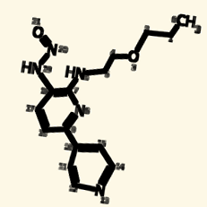 CCCOCCNc1nc(-c2ccncc2)ccc1NN=O